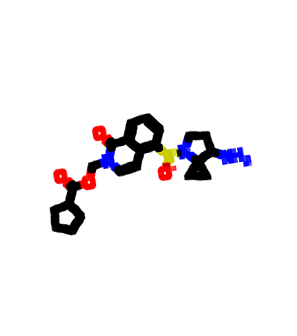 NC1CCN([S+]([O-])c2cccc3c(=O)n(COC(=O)C4CCCC4)ccc23)C12CC2